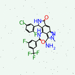 Cn1nc2cc3c(c(NC(=O)c4cc(F)cc(C(F)(F)F)c4)c2c1CN)C(c1cc(Cl)ccc1F)NC3=O